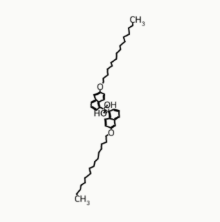 CCCCCCCCCCCCCCCCOc1ccc2c([Si](O)(O)c3cccc4cc(OCCCCCCCCCCCCCCCC)ccc34)cccc2c1